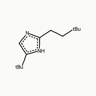 CC(C)(C)CCc1ncc(C(C)(C)C)[nH]1